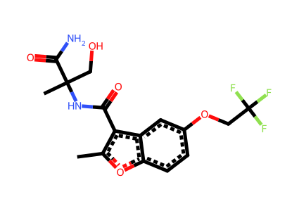 Cc1oc2ccc(OCC(F)(F)F)cc2c1C(=O)NC(C)(CO)C(N)=O